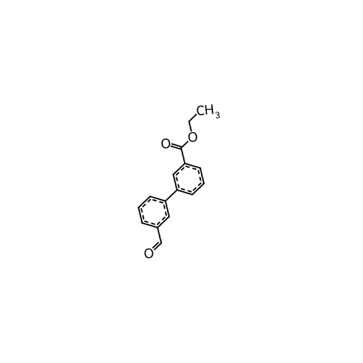 CCOC(=O)c1cccc(-c2cccc(C=O)c2)c1